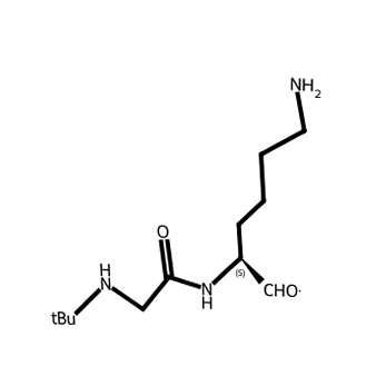 CC(C)(C)NCC(=O)N[C@H]([C]=O)CCCCN